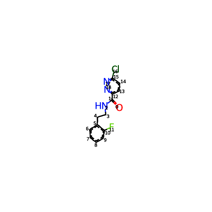 O=C(NCCc1ccccc1F)c1ccc(Cl)nn1